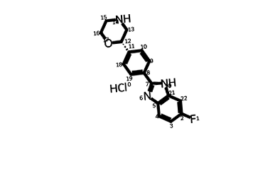 Cl.Fc1ccc2nc(-c3ccc([C@H]4CNCCO4)cc3)[nH]c2c1